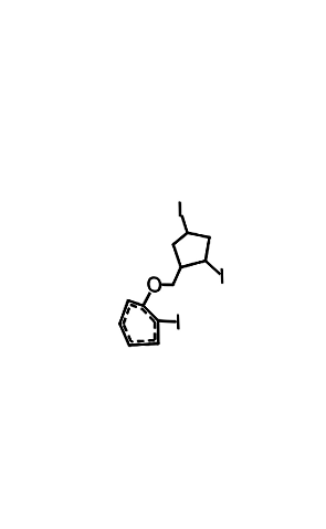 Ic1ccccc1OCC1CC(I)CC1I